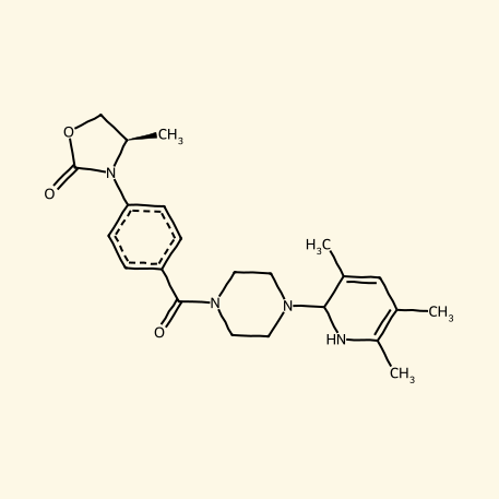 CC1=CC(C)=C(C)NC1N1CCN(C(=O)c2ccc(N3C(=O)OC[C@H]3C)cc2)CC1